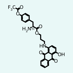 N[C@@H](Cc1ccc(OC(=O)C(F)(F)F)cc1)C(=O)OCCCNc1ccc(O)c2c1C(=O)c1ccccc1C2=O